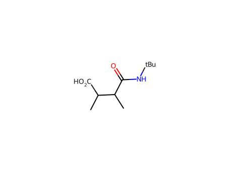 CC(C(=O)O)C(C)C(=O)NC(C)(C)C